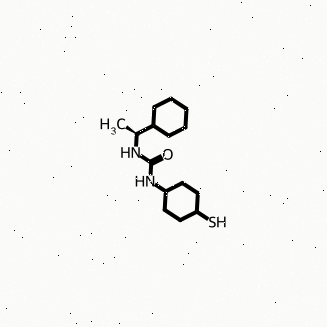 C[C@H](NC(=O)NC1CCC(S)CC1)C1CCCCC1